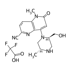 C[C@@H]1CN(c2cc(=O)n(C)c3ccc(C#N)nc23)[C@@H](CO)CN1.O=C(O)C(F)(F)F